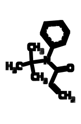 C=CC(=O)N(c1ccccc1)C(C)(C)C